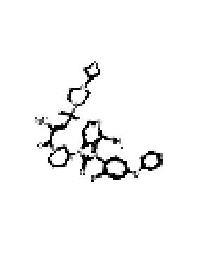 CC(C)(C=C(C#N)C(=O)N1CCC[C@@H](n2c(=O)n(-c3ccc(Oc4ccccc4)cc3F)c3c(N)nccc32)C1)N1CCN(C2COC2)CC1